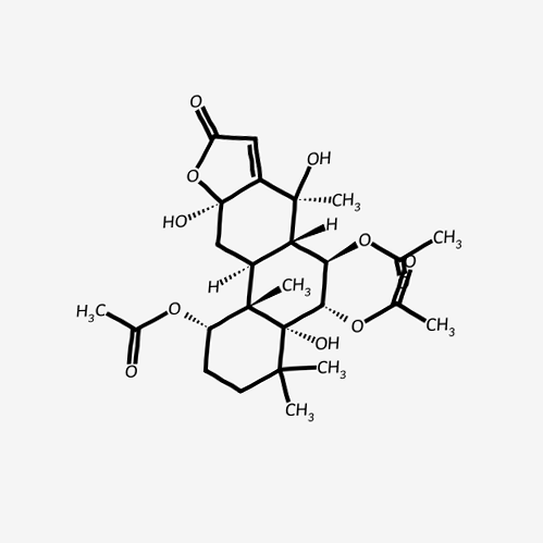 CC(=O)O[C@@H]1[C@@H]2[C@H](C[C@@]3(O)OC(=O)C=C3[C@@]2(C)O)[C@@]2(C)[C@@H](OC(C)=O)CCC(C)(C)[C@]2(O)[C@H]1OC(C)=O